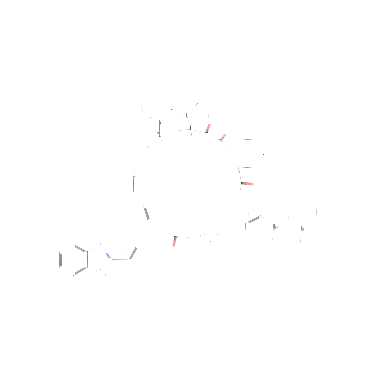 CO[C@H]1C[C@@H](C)C/C(C)=C/[C@@H](C/C=C/c2nc3ccccc3[nH]2)C(=O)C[C@H](O)[C@@H](C)[C@@H](/C(C)=C/[C@@H]2CC[C@@H](O)[C@H](OC)C2)OC(=O)[C@@H]2CCCCN2C(=O)C(=O)[C@]2(O)O[C@H]1[C@@H](OC)C[C@H]2C